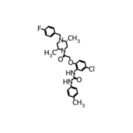 Cc1ccc(NC(=O)Nc2cc(Cl)ccc2OCC(=O)N2C[C@@H](C)N(Cc3ccc(F)cc3)C[C@@H]2C)cc1